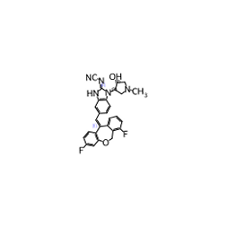 CN1C[C@@H](O)[C@H](n2/c(=N/C#N)[nH]c3cc(/C=C4/c5ccc(F)cc5OCc5c(F)cccc54)ccc32)C1